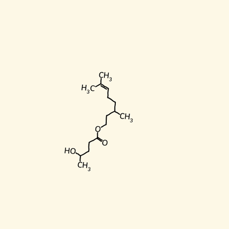 CC(C)=CCCC(C)CCOC(=O)CCC(C)O